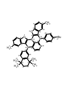 Cc1ccc2oc3c(c2c1)N(c1ccc2c(c1)C(C)(C)CCC2(C)C)c1ccnc2c1B3c1oc3ccc(C)cc3c1N2c1ccc(C(C)(C)C)cc1